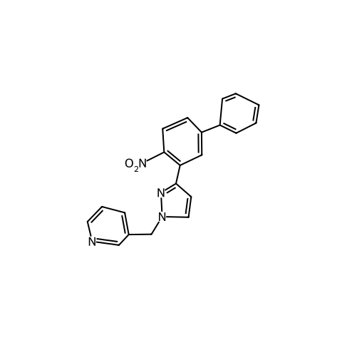 O=[N+]([O-])c1ccc(-c2ccccc2)cc1-c1ccn(Cc2cccnc2)n1